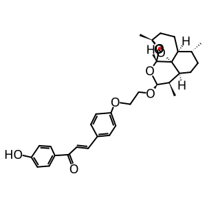 C[C@H]1[C@@H](OCCOc2ccc(/C=C/C(=O)c3ccc(O)cc3)cc2)O[C@@H]2O[C@@]3(C)CC[C@H]4[C@H](C)CC[C@@H]1[C@@]24OO3